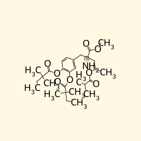 CCC(C)(C)C(=O)Oc1ccc(C[C@](N)(CC(C)OC(=O)C(C)C)C(=O)OC)cc1OC(=O)C(C)(C)CC